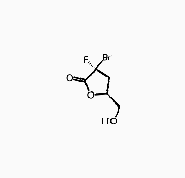 O=C1O[C@H](CO)C[C@]1(F)Br